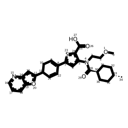 COCCN(c1cc(C2=CCC(c3cc4ncccc4o3)C=C2)sc1C(=O)O)C(=O)[C@H]1CC[C@H](C)CC1